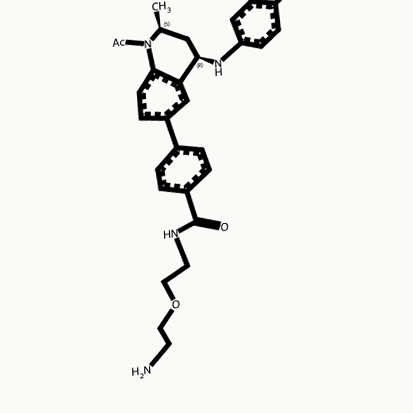 CC(=O)N1c2ccc(-c3ccc(C(=O)NCCOCCN)cc3)cc2[C@H](Nc2ccc(Cl)cc2)C[C@@H]1C